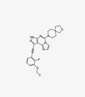 FCOc1cccc(C#Cc2n[nH]c3nc(N4CCC5(CCOC5)CC4)n4ccnc4c23)c1F